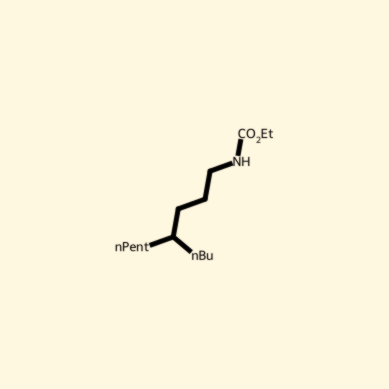 CCCCCC(CCCC)CCCNC(=O)OCC